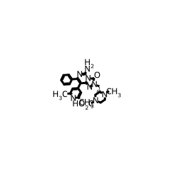 Cc1cc(-c2c(-c3ccccc3)nc(N)n3c(=O)n(C[C@H]4CN(C(=O)O)CCN4C)nc23)cc(C)n1